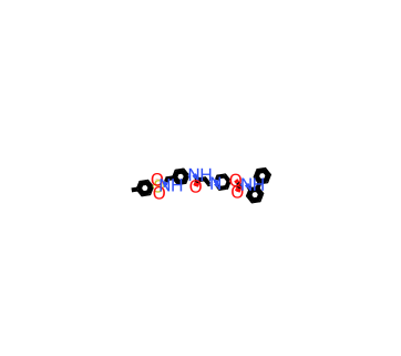 Cc1ccc(S(=O)(=O)NCc2ccc(NC(=O)CCN3CCC(OC(=O)Nc4ccccc4-c4ccccc4)CC3)cc2)cc1